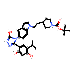 CC(C)c1cc(-c2nnc(O)n2-c2ccc3c(ccn3CCC3CCN(C(=O)OC(C)(C)C)CC3)c2)c(O)cc1O